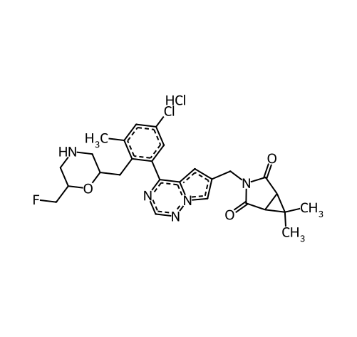 Cc1cc(Cl)cc(-c2ncnn3cc(CN4C(=O)C5C(C4=O)C5(C)C)cc23)c1CC1CNCC(CF)O1.Cl